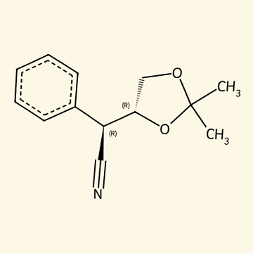 CC1(C)OC[C@@H]([C@@H](C#N)c2ccccc2)O1